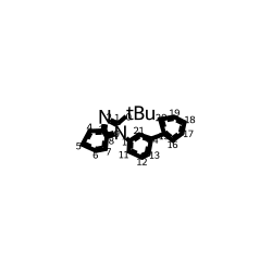 CC(C)(C)c1nc2ccccc2n1-c1cccc(-c2ccccc2)c1